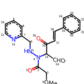 COCC(=O)N(NCc1ccccn1)C([C]=O)C(=O)C=Cc1ccccc1